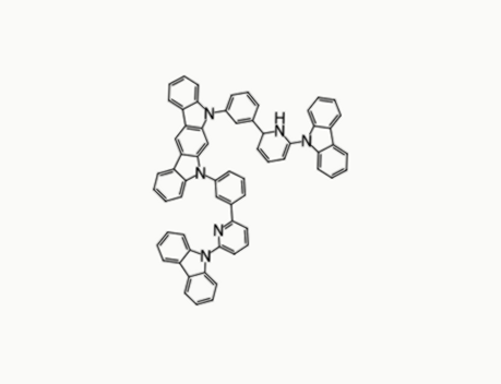 C1=CC(c2cccc(-n3c4ccccc4c4cc5c6ccccc6n(-c6cccc(-c7cccc(-n8c9ccccc9c9ccccc98)n7)c6)c5cc43)c2)NC(n2c3ccccc3c3ccccc32)=C1